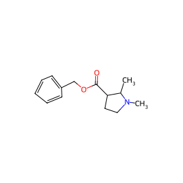 CC1C(C(=O)OCc2ccccc2)CCN1C